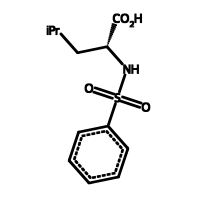 CC(C)C[C@@H](NS(=O)(=O)c1ccccc1)C(=O)O